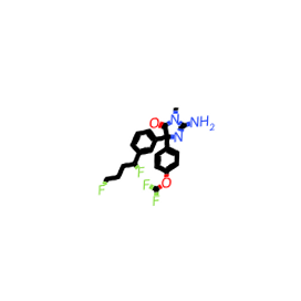 CN1C(=O)C(c2ccc(OC(F)F)cc2)(c2cccc(C(F)CCCF)c2)N=C1N